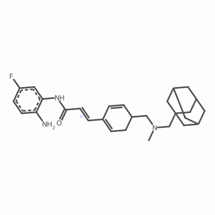 CN(CC1C=CC(/C=C/C(=O)Nc2cc(F)ccc2N)=CC1)CC12CC3CC(CC(C3)C1)C2